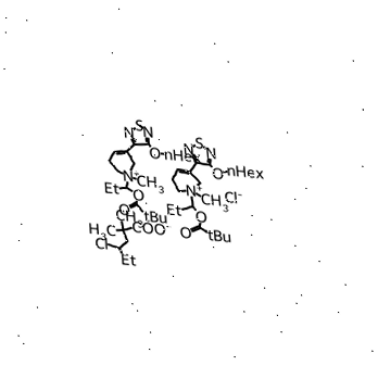 CCC(Cl)CC(C)(C)C(=O)[O-].CCCCCCOc1nsnc1C1=CCC[N+](C)(C(CC)OC(=O)C(C)(C)C)C1.CCCCCCOc1nsnc1C1=CCC[N+](C)(C(CC)OC(=O)C(C)(C)C)C1.[Cl-]